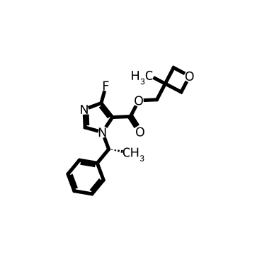 C[C@H](c1ccccc1)n1cnc(F)c1C(=O)OCC1(C)COC1